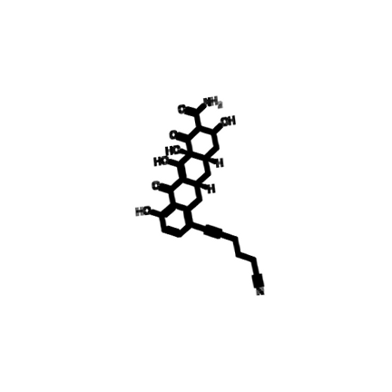 N#CCCCC#Cc1ccc(O)c2c1C[C@H]1C[C@H]3CC(O)C(C(N)=O)C(=O)[C@@]3(O)C(O)=C1C2=O